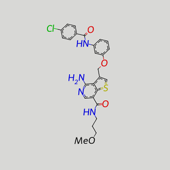 COCCCNC(=O)c1cnc(N)c2c(COc3cccc(NC(=O)c4ccc(Cl)cc4)c3)csc12